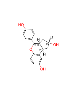 CC[C@]1(O)C[C@H]2[C@@H](c3ccc(O)cc3)Oc3ccc(O)cc3[C@@H]2C1